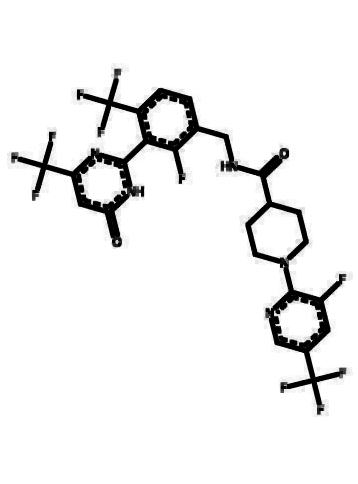 O=C(NCc1ccc(C(F)(F)F)c(-c2nc(C(F)(F)F)cc(=O)[nH]2)c1F)C1CCN(c2ncc(C(F)(F)F)cc2F)CC1